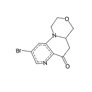 O=C1CC2COCCN2c2cc(Br)cnc21